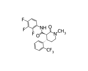 CN1CC[C@H](c2ccccc2C(F)(F)F)[C@@H](C(=O)Nc2ccc(F)c(F)c2F)C1=O